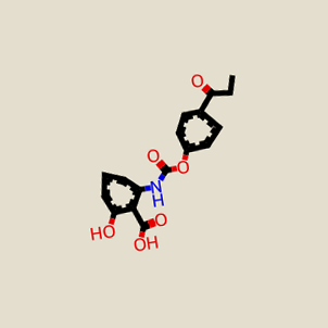 CCC(=O)c1ccc(OC(=O)Nc2cccc(O)c2C(=O)O)cc1